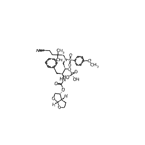 COc1ccc(S(=O)(=O)N(C[C@@H](OP(=O)(O)O)[C@H](Cc2ccccc2)NC(=O)O[C@H]2CO[C@H]3OCC[C@H]32)CC(C)(C)CCC#N)cc1